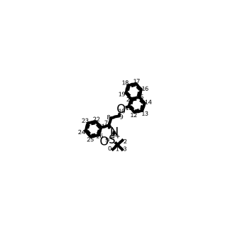 CC(C)(C)[S+]([O-])N=C(CCOc1cccc2ccccc12)c1ccccc1